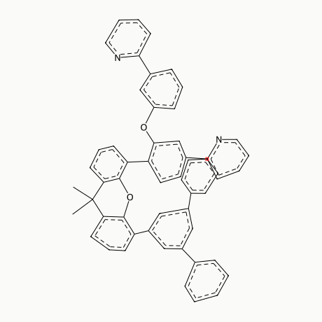 CC1(C)c2cccc(-c3cc(-c4ccccc4)cc(-c4ccccc4)c3)c2Oc2c(-c3ccc(-c4ccccn4)cc3Oc3cccc(-c4ccccn4)c3)cccc21